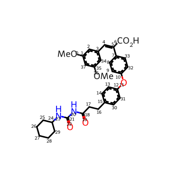 COc1cc(C=C(C(=O)O)c2ccc(Oc3ccc(CCC(=O)NC(=O)NC4CCCCC4)cc3)cc2)cc(OC)c1